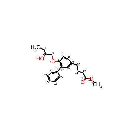 CCC(O)COc1ccc(CCCC(=O)OC)cc1-c1ccccc1